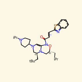 CC(C)C[C@@H]1CN2C(=CN(C3CCN(C(C)C)CC3)C[C@@H]2CC(C)(C)C)N(C(=O)/C=C/c2nc3ccccc3s2)O1